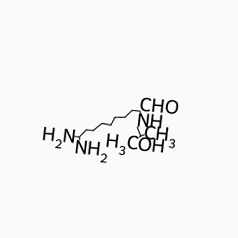 CC(C)(O)CNC(C=O)CCCCCCCC(N)N